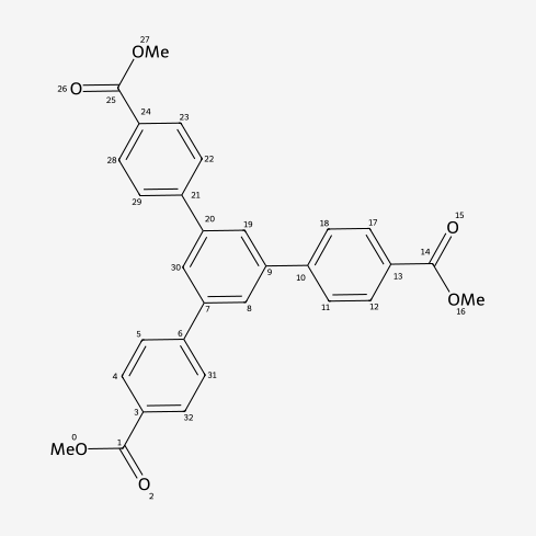 COC(=O)c1ccc(-c2cc(-c3ccc(C(=O)OC)cc3)cc(-c3ccc(C(=O)OC)cc3)c2)cc1